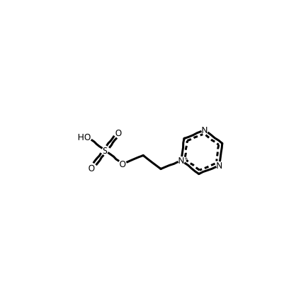 O=S(=O)(O)OCC[n+]1cncnc1